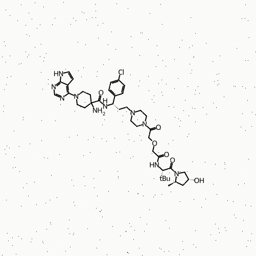 C[C@@H]1C[C@@H](O)CN1C(=O)[C@@H](NC(=O)COCC(=O)N1CCN(CC[C@H](NC(=O)C2(N)CCN(c3ncnc4[nH]ccc34)CC2)c2ccc(Cl)cc2)CC1)C(C)(C)C